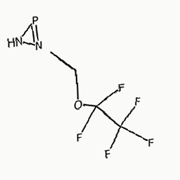 CCOC(F)(F)C(F)(F)F.N1=PN1